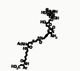 CC(=O)NC(CSSCCC(=O)NCC#Cc1cn(C2CC(O)C(COP(=O)(O)OP(=O)(O)OP(=O)(O)O)O2)c(=O)nc1N)C(=O)NCCCCCC(=O)NC(CC(=O)O)C(C)=O